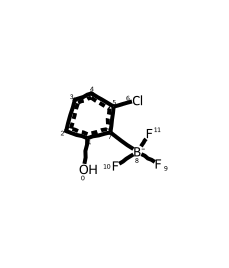 Oc1cccc(Cl)c1[B-](F)(F)F